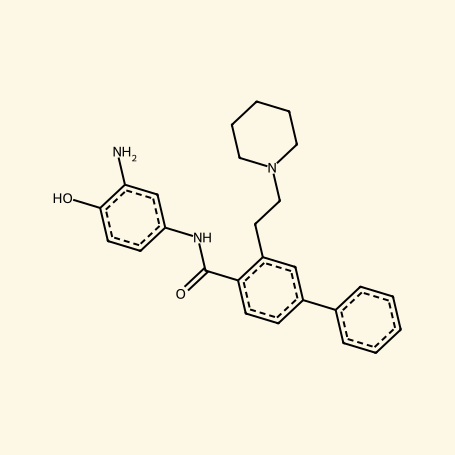 Nc1cc(NC(=O)c2ccc(-c3ccccc3)cc2CCN2CCCCC2)ccc1O